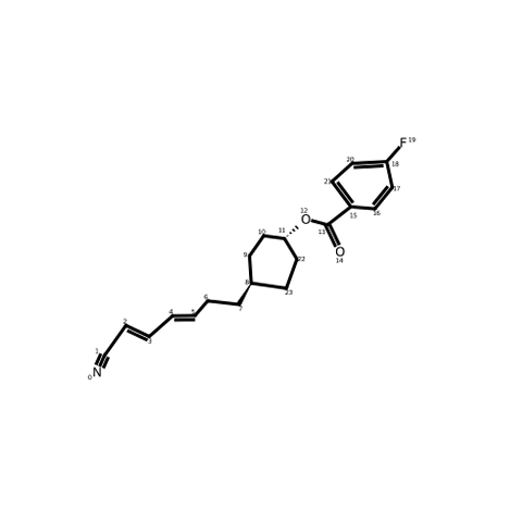 N#CC=CC=CCC[C@H]1CC[C@H](OC(=O)c2ccc(F)cc2)CC1